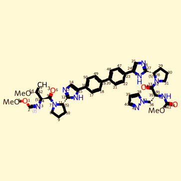 COO/C=N\[C@H](C(=O)N1CCC[C@H]1c1ncc(-c2ccc(-c3ccc(-c4cnc([C@@H]5CCCN5C(=O)[C@@H](Cn5cccn5)NC(=O)OC)[nH]4)cc3)cc2)[nH]1)[C@@H](C)OC